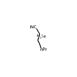 CCCCCC#N.[SeH2]